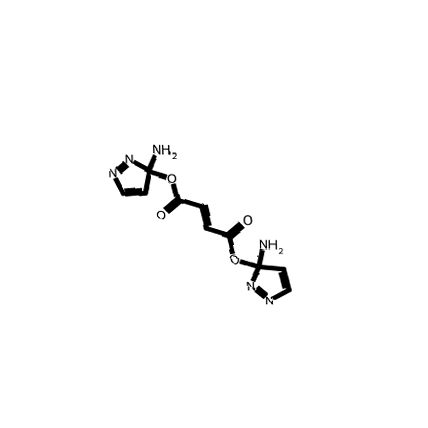 NC1(OC(=O)/C=C/C(=O)OC2(N)C=CN=N2)C=CN=N1